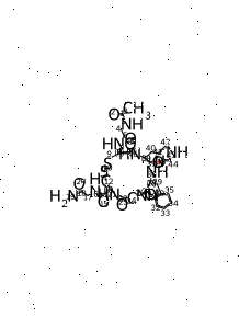 CC(=O)NCC(=O)N[C@H]1CSSC[C@@H](C(=O)NCC(N)=O)NC(=O)CNC(=O)[C@@H](Cc2ccccc2)NC(=O)[C@H](Cc2c[nH]cn2)NC1=O